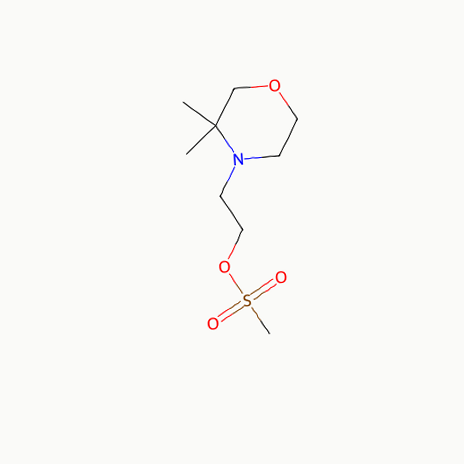 CC1(C)COCCN1CCOS(C)(=O)=O